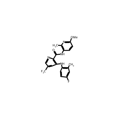 COc1ccc(NC(=O)c2ncc(C(F)(F)F)cc2Nc2ccc(F)cc2C)c(C)n1